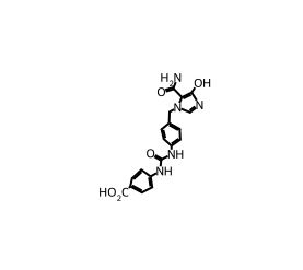 NC(=O)c1c(O)ncn1Cc1ccc(NC(=O)Nc2ccc(C(=O)O)cc2)cc1